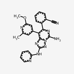 COc1cc(-c2c(-c3ccccc3C#N)nc(N)n3nc(Nc4ccccn4)nc23)cc(C)n1